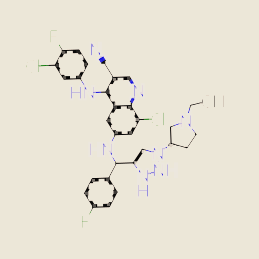 CCN1CC[C@@H](N2C=C(C(Nc3cc(Cl)c4ncc(C#N)c(Nc5ccc(F)c(Cl)c5)c4c3)c3ccc(F)cc3)NN2)C1